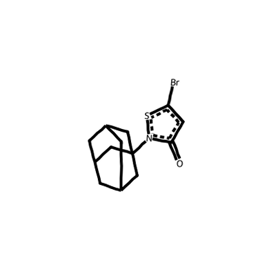 O=c1cc(Br)sn1C12CC3CC(CC(C3)C1)C2